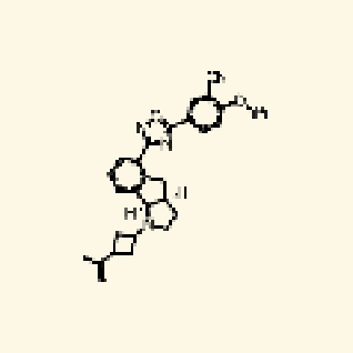 C=C(C)C1CC(N2CC[C@@H]3Cc4c(-c5noc(-c6ccc(OC(C)C)c(C#N)c6)n5)cccc4[C@@H]32)C1